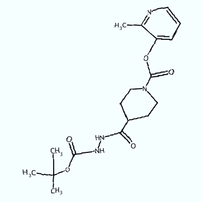 Cc1ncccc1OC(=O)N1CCC(C(=O)NNC(=O)OC(C)(C)C)CC1